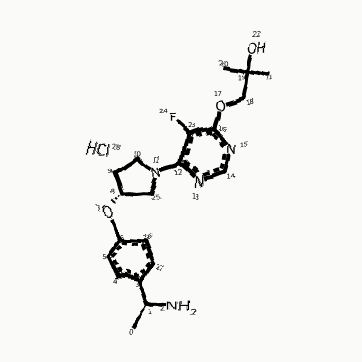 C[C@H](N)c1ccc(O[C@@H]2CCN(c3ncnc(OCC(C)(C)O)c3F)C2)cc1.Cl